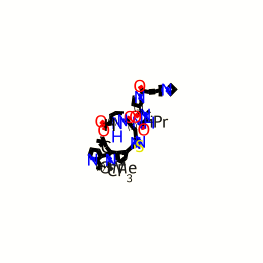 CO[C@@H](C)c1ncccc1-c1c2c3cc(ccc3n1CC(F)(F)F)-c1nc(ns1)C[C@H](NC(=O)C(C(C)C)N(C)C(=O)[C@H]1CCN(C(=O)C#CC(C)(C)N3CCC3)C1)C(=O)N1CCC[C@H](N1)C(=O)OCC(C)(C)C2